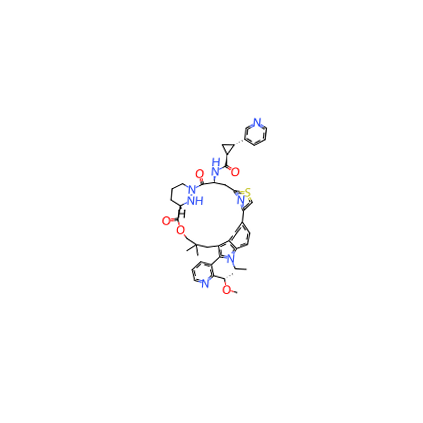 CCn1c(-c2cccnc2[C@H](C)OC)c2c3cc(ccc31)-c1csc(n1)C[C@H](NC(=O)[C@H]1C[C@@H]1c1cccnc1)C(=O)N1CCC[C@H](N1)C(=O)OCC(C)(C)C2